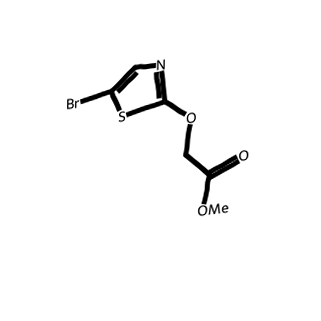 COC(=O)COc1ncc(Br)s1